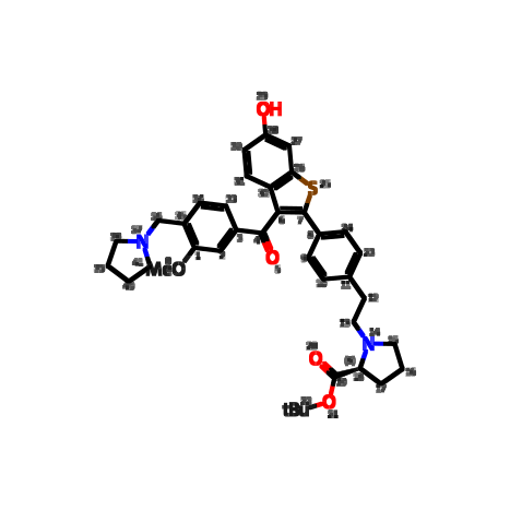 COc1cc(C(=O)c2c(-c3ccc(CCN4CCC[C@H]4C(=O)OC(C)(C)C)cc3)sc3cc(O)ccc23)ccc1CN1CCCC1